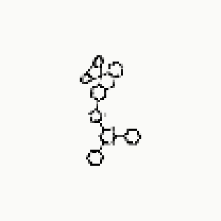 c1ccc(-c2nc(-c3ccccc3)nc(-c3ccc(-c4ccc5c(c4)Cc4ccccc4C54c5ccccc5-c5ccccc54)o3)n2)cc1